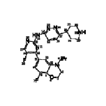 CC(C)N1CCOc2c(F)cc(-c3nc(Nc4ccc(C5CCNCC5)nn4)ncc3F)cc21